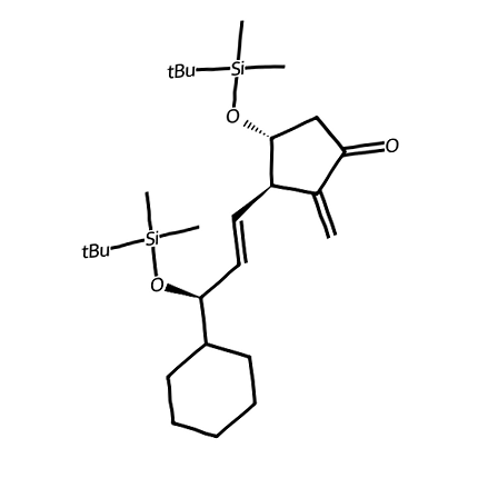 C=C1C(=O)C[C@@H](O[Si](C)(C)C(C)(C)C)[C@@H]1/C=C/[C@H](O[Si](C)(C)C(C)(C)C)C1CCCCC1